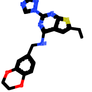 CCc1cc2c(NCc3ccc4c(c3)OCCO4)nc(-n3cncn3)nc2s1